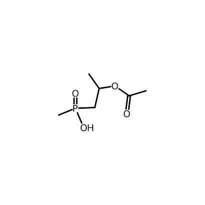 CC(=O)OC(C)CP(C)(=O)O